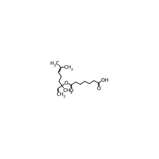 C=CC(C)(CCC=C(C)C)OC(=O)CCCCCC(=O)O